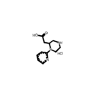 Cl.O=C(O)CC1CNCCN1c1ccccn1